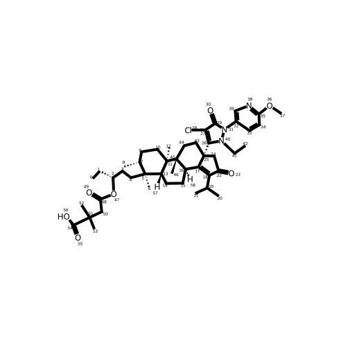 CC[C@H](CC[C@@]1(C)[C@H](C)CC[C@]2(C)[C@@H]1CC[C@@H]1C3=C(C(C)C)C(=O)C[C@]3(c3c(Cl)c(=O)n(-c4ccc(OC)nc4)n3CC)CC[C@]12C)OC(=O)CC(C)(C)C(=O)O